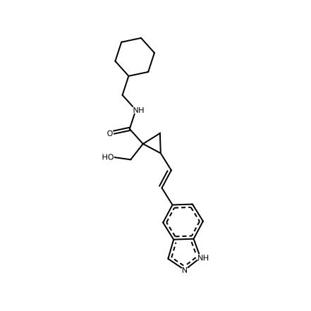 O=C(NCC1CCCCC1)C1(CO)CC1/C=C/c1ccc2[nH]ncc2c1